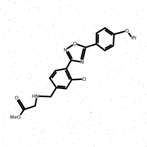 COC(=O)CNCc1ccc(-c2noc(-c3ccc(OC(C)C)cc3)n2)c(Cl)c1